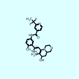 Cc1ccc(NC(=O)c2ccnc(C(C)(F)F)c2)cc1/C(N)=C/C1=C(N)C(O)CC2COCCN12